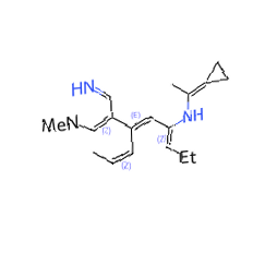 C\C=C/C(=C\C(=C\CC)NC(C)=C1CC1)C(/C=N)=C/NC